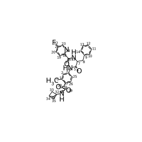 Cc1cc(NC(=O)C(Cc2ccccc2)NC(=O)c2ccc(F)cn2)ccc1S(=O)(=O)NC12CC(C1)C2